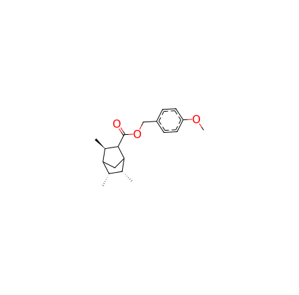 COc1ccc(COC(=O)C2C3CC([C@H]2C)[C@@H](C)[C@H]3C)cc1